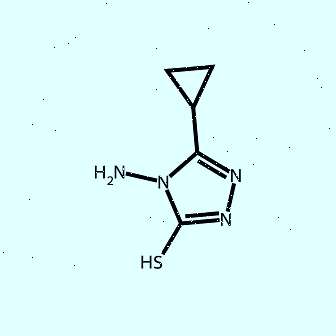 Nn1c(S)nnc1C1CC1